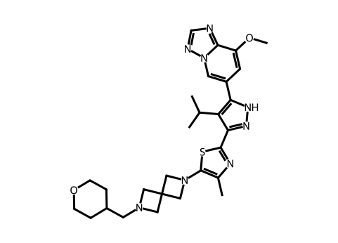 COc1cc(-c2[nH]nc(-c3nc(C)c(N4CC5(CN(CC6CCOCC6)C5)C4)s3)c2C(C)C)cn2ncnc12